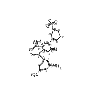 C[C@H](c1cc(N)cc(C(F)(F)F)c1)c1cc(=O)n(C2=CCCN(S(C)(=O)=O)C2)nc1C(N)=O